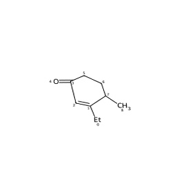 CCC1=CC(=O)CCC1C